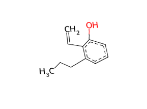 C=Cc1c(O)cccc1CCC